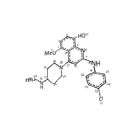 COc1cccc2nc(Nc3ccc(Cl)cc3)cc(N3CCC(NC(C)(C)C)CC3)c12.Cl